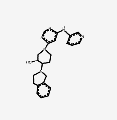 O[C@H]1CN(c2cc(Nc3cccnc3)ncn2)CCC1N1CCc2ccccc2C1